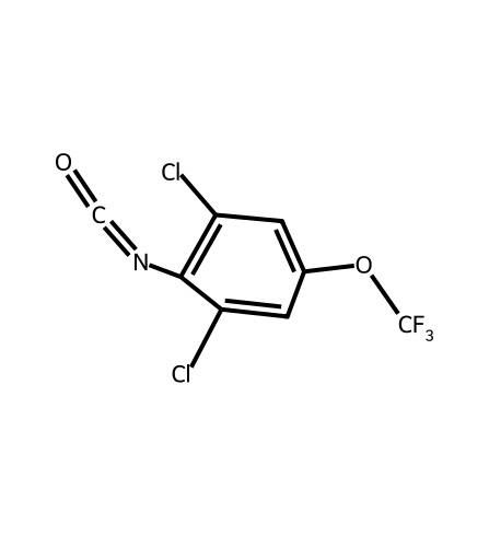 O=C=Nc1c(Cl)cc(OC(F)(F)F)cc1Cl